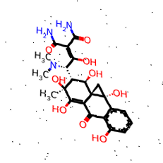 CN(C)[C@H](C(O)=C(C(N)=O)C(N)=O)[C@@H]1[C@@H](O)[C@]23C[C@@]2(O)c2cccc(O)c2C(=O)C3=C(O)[C@@]1(C)O